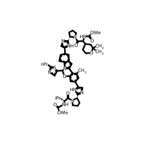 CCCc1ncc(C2Oc3cc(-c4cnc([C@@H]5CCCN5C(=O)[C@@H](NC(=O)OC)C(C)C)[nH]4)cc(C)c3-c3cc4cc(-c5cnc([C@@H]6CCCN6C(=O)C(NC(=O)OC)C6CCOC(C)(C)C6)[nH]5)ccc4n32)s1